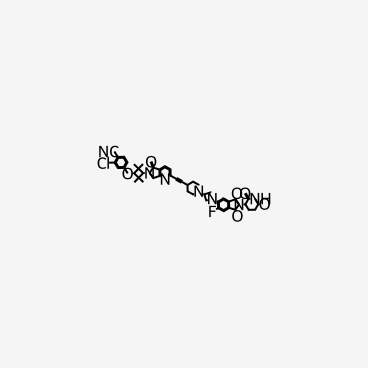 CC1(C)[C@H](Oc2ccc(C#N)c(Cl)c2)C(C)(C)[C@H]1N1Cc2nc(C#CC3CCN(C4CN(c5cc6c(cc5F)C(=O)N(C5CCC(=O)NC5=O)C6=O)C4)CC3)ccc2C1=O